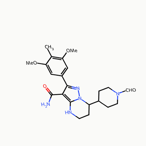 COc1cc(-c2nn3c(c2C(N)=O)NCCC3C2CCN(C=O)CC2)cc(OC)c1C